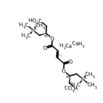 C[N+](C)(C)C[C@@H](CC(=O)O)OC(=O)/C=C/C(=O)O[C@H](CC(=O)O)C[N+](C)(C)C.[CaH2].[CaH2]